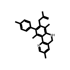 C=C(C)Cc1c(C)c2c(c(C)c1-c1ccc(C)cc1)-c1ncc(C)cc1CN2